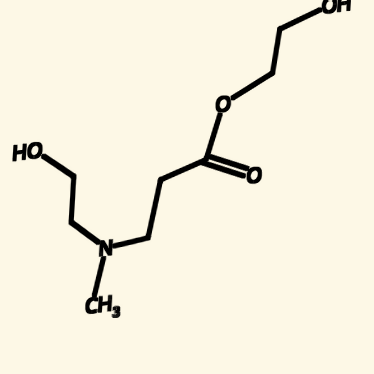 CN(CCO)CCC(=O)OCCO